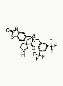 Cn1c(=O)sc2ccc(CN(Cc3cc(C(F)(F)F)cc(C(F)(F)F)c3)C(=O)C3(CC4CC4)CCNC3)cc21